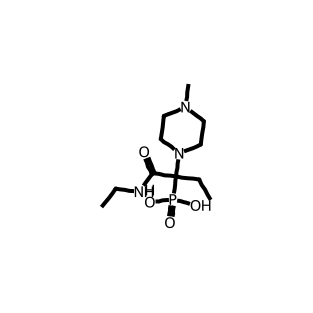 CCNC(=O)C(CC)(N1CCN(C)CC1)P(=O)(O)O